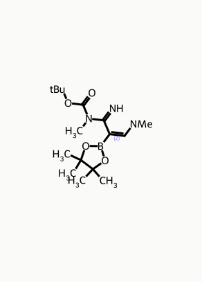 CN/C=C(/B1OC(C)(C)C(C)(C)O1)C(=N)N(C)C(=O)OC(C)(C)C